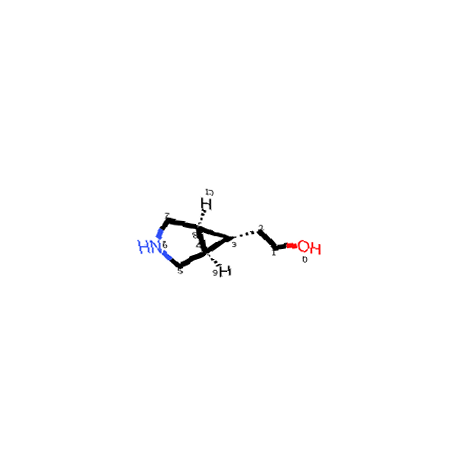 OCC[C@@H]1[C@H]2CNC[C@@H]12